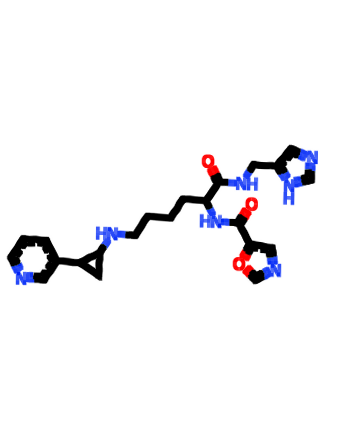 O=C(NC(CCCCNC1CC1c1cccnc1)C(=O)NCc1cnc[nH]1)c1cnco1